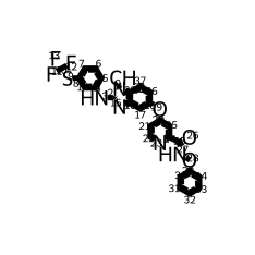 Cn1c(Nc2cccc(SC(F)(F)F)c2)nc2cc(Oc3ccnc(C(=O)NOc4ccccc4)c3)ccc21